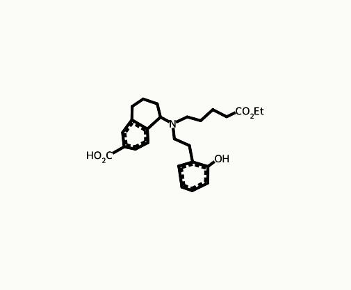 CCOC(=O)CCCCN(CCc1ccccc1O)C1CCCc2cc(C(=O)O)ccc21